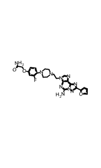 NC(=O)COc1ccc(N2CCN(CCn3cnc4c3nc(N)n3nc(-c5ccco5)nc43)CC2)c(F)c1